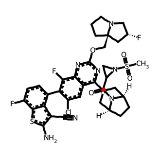 CS(=O)(=O)N1CC1C(=O)N1[C@@H]2CC[C@H]1CN(c1nc(OC[C@@]34CCCN3C[C@H](F)C4)nc3c(F)c(-c4ccc(F)c5sc(N)c(C#N)c45)c(Cl)cc13)C2